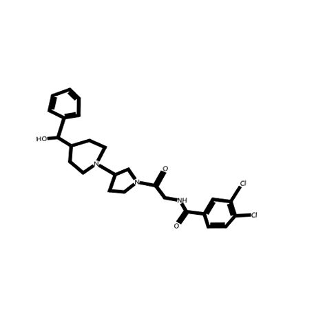 O=C(NCC(=O)N1CCC(N2CCC(C(O)c3ccccc3)CC2)C1)c1ccc(Cl)c(Cl)c1